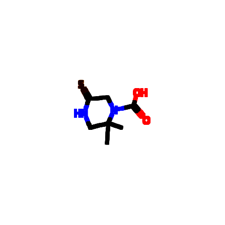 CC1(C)CNC(=S)CN1C(=O)O